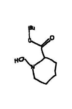 CC(C)(C)OC(=O)C1CCCCN1O